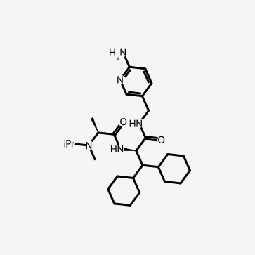 CC(C)N(C)[C@@H](C)C(=O)N[C@@H](C(=O)NCc1ccc(N)nc1)C(C1CCCCC1)C1CCCCC1